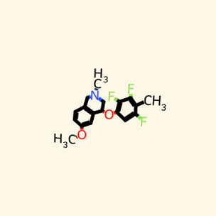 COc1ccc2c(c1)C(Oc1cc(F)c(C)c(F)c1F)CN(C)C2